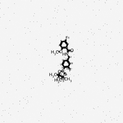 COc1ccc(F)cc1C(=O)NCc1ccc(B2OC(C)(C)C(C)(C)O2)c(F)c1